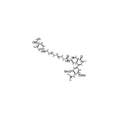 COc1cc(-c2cn(C)c(=O)c3cnc(NC(=O)CCOCCOCCNc4ccc(C(=O)C(C)C)c(C)c4)cc23)cc(OC)c1CN(C)C